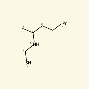 CC(C)CCC(C)NCS